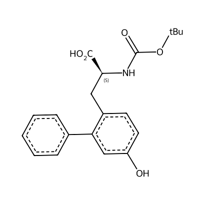 CC(C)(C)OC(=O)N[C@@H](Cc1ccc(O)cc1-c1ccccc1)C(=O)O